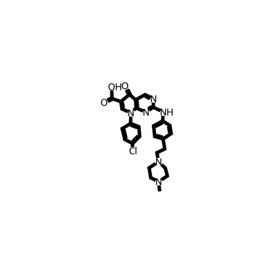 CN1CCN(CCc2ccc(Nc3ncc4c(=O)c(C(=O)O)cn(-c5ccc(Cl)cc5)c4n3)cc2)CC1